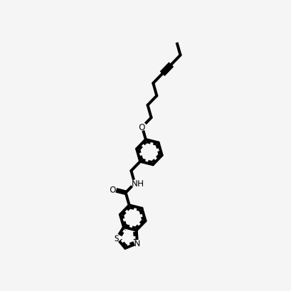 CCC#CCCCCOc1cccc(CNC(=O)c2ccc3ncsc3c2)c1